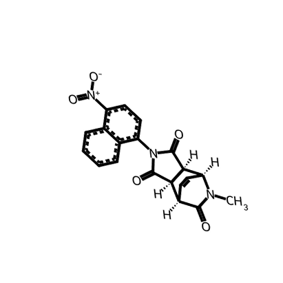 CN1C(=O)[C@@H]2C=C[C@H]1[C@@H]1C(=O)N(c3ccc([N+](=O)[O-])c4ccccc34)C(=O)[C@@H]12